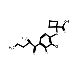 C=C(CCC)C(=O)c1ccc(OC2(C(=O)O)CCC2)c(Cl)c1Cl